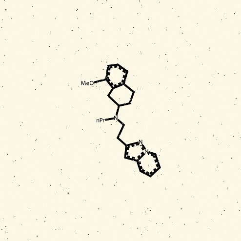 CCCN(CCc1cc2ccccn2n1)C1CCc2cccc(OC)c2C1